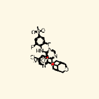 COc1c(Nc2c(F)cc(S(C)(=O)=O)cc2F)ncnc1OC1C2COCC1CN(c1ncc(Cl)cn1)C2